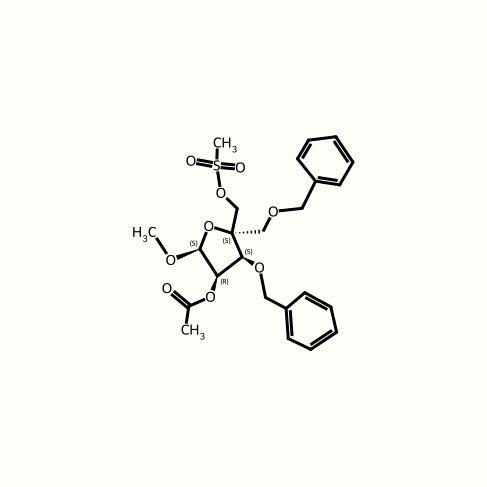 CO[C@H]1O[C@@](COCc2ccccc2)(COS(C)(=O)=O)[C@@H](OCc2ccccc2)[C@H]1OC(C)=O